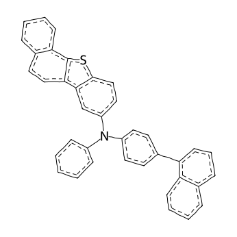 c1ccc(N(c2ccc(-c3cccc4ccccc34)cc2)c2ccc3sc4c5ccccc5ccc4c3c2)cc1